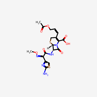 CO/N=C(\C(=O)N[C@@H]1C(=O)N2C(C(=O)O)=C(/C=C\COC(C)=O)CS[C@@H]12)c1csc(N)n1